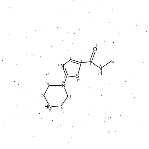 CNC(=O)c1cnc(N2CCNCC2)s1